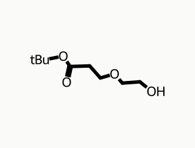 CC(C)(C)OC(=O)CCOCCO